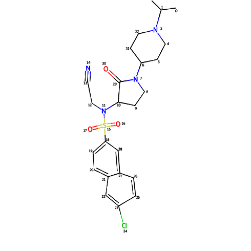 CC(C)N1CCC(N2CCC(N(CC#N)S(=O)(=O)c3ccc4cc(Cl)ccc4c3)C2=O)CC1